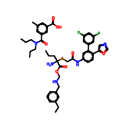 CCCC(N)(SCC(=O)Nc1ccc(-c2cnco2)c(-c2cc(F)cc(F)c2)c1)C(=O)OCNCc1cccc(CC)c1.CCCN(CCC)C(=O)c1cc(C)cc(C(=O)O)c1